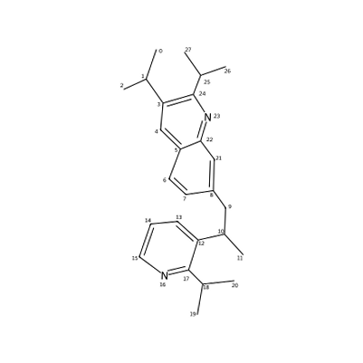 CC(C)c1cc2ccc(CC(C)c3cccnc3C(C)C)cc2nc1C(C)C